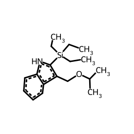 CC[Si](CC)(CC)c1[nH]c2ccccc2c1COC(C)C